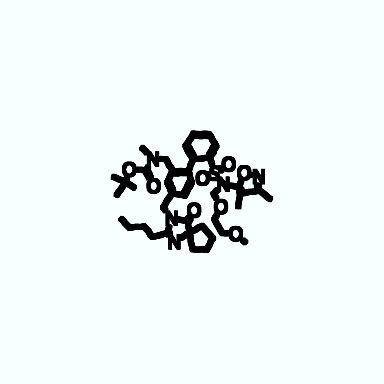 CCCCC1=NC2(CCCC2)C(=O)N1Cc1ccc(-c2ccccc2S(=O)(=O)N(COCCOC)c2onc(C)c2C)c(CN(C)C(=O)OC(C)(C)C)c1